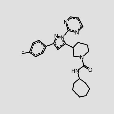 O=C(NC1CCCCCC1)N1CCCC(c2cc(-c3ccc(F)cc3)nn2-c2ncccn2)C1